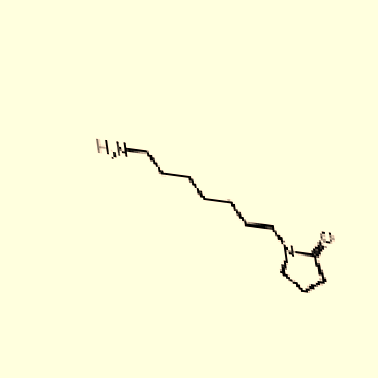 NCCCCCCCN1CCCC1=O